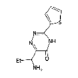 CCC(N)c1nnc(-c2cccs2)[nH]c1=O